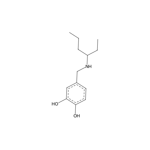 CCCC(CC)NCc1ccc(O)c(O)c1